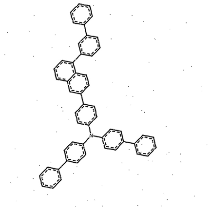 c1ccc(-c2ccc(N(c3ccc(-c4ccccc4)cc3)c3ccc(-c4ccc5c(-c6cccc(-c7ccccc7)c6)cccc5c4)cc3)cc2)cc1